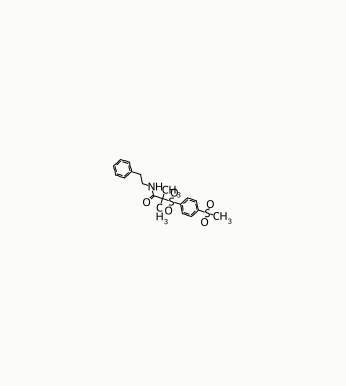 CC(C)(C(=O)NCCc1ccccc1)S(=O)(=O)c1ccc(S(C)(=O)=O)cc1